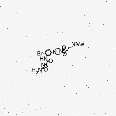 CNCCCS(=O)(=O)N1CCN(c2ccc(Br)c(NC(=O)c3coc(N)n3)c2)CC1